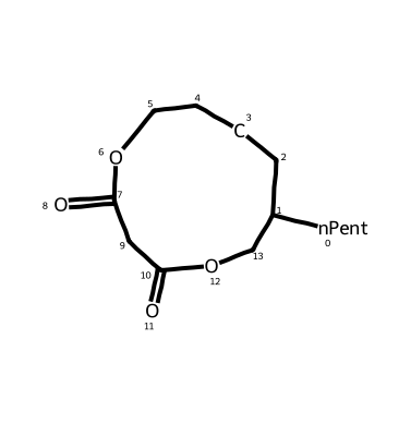 CCCCCC1CCCCOC(=O)CC(=O)OC1